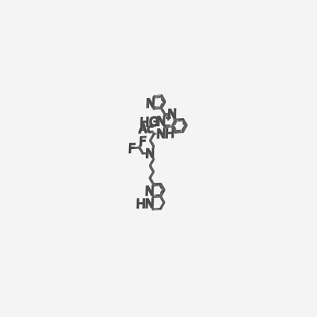 CC(=O)[C@H](CCN(CCCCc1ccc2c(n1)NCCC2)CC(F)F)Nc1c2ccccc2nc(-c2cccnc2)[n+]1O